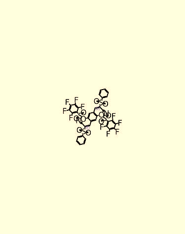 N#C/C(=C\c1cc(OS(=O)(=O)c2c(F)c(F)c(F)c(F)c2F)c(/C=C(\C#N)S(=O)(=O)c2ccccc2)cc1OS(=O)(=O)c1c(F)c(F)c(F)c(F)c1F)S(=O)(=O)c1ccccc1